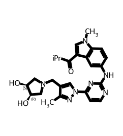 Cc1nn(-c2ccnc(Nc3ccc4c(c3)c(C(=O)C(C)C)cn4C)n2)cc1CN1C[C@@H](O)[C@@H](O)C1